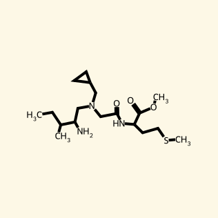 CCC(C)C(N)CN(CC(=O)NC(CCSC)C(=O)OC)CC1CC1